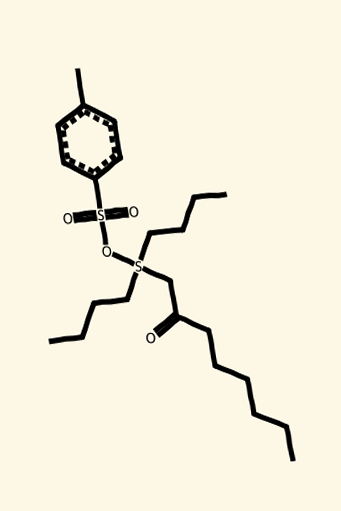 CCCCCCC(=O)CS(CCCC)(CCCC)OS(=O)(=O)c1ccc(C)cc1